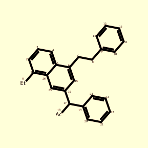 CCc1cccc2c(CCc3ccccc3)cc(C(C(C)=O)c3ccccc3)cc12